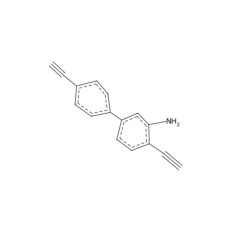 C#Cc1ccc(-c2ccc(C#C)c(N)c2)cc1